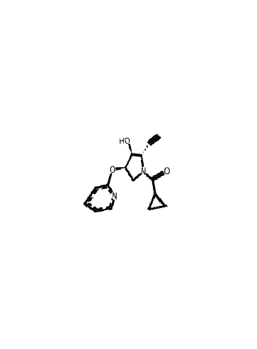 C#C[C@H]1[C@H](O)[C@H](Oc2ccccn2)CN1C(=O)C1CC1